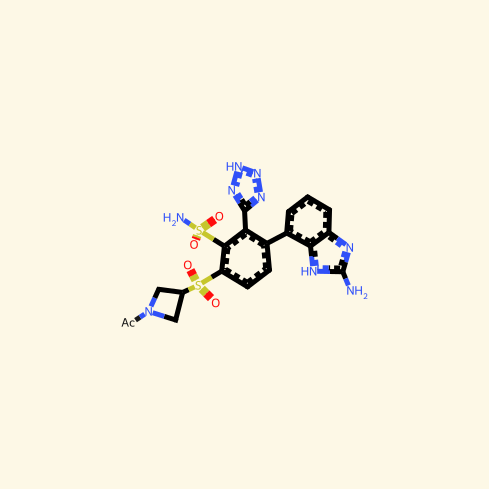 CC(=O)N1CC(S(=O)(=O)c2ccc(-c3cccc4nc(N)[nH]c34)c(-c3nn[nH]n3)c2S(N)(=O)=O)C1